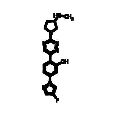 CNC1CCN(c2ncc(-c3ccc(-n4cc(F)cn4)cc3O)nn2)C1